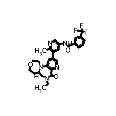 CCN1C[C@@H]2CCOCCN2c2cc(-c3cc(NC(=O)c4cccc(C(F)(F)F)c4)cnc3C)cnc2C1=O